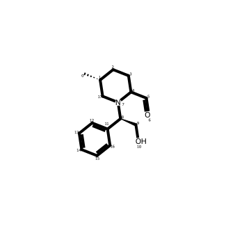 C[C@@H]1CCC(C=O)N([C@@H](CO)c2ccccc2)C1